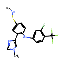 CNSc1ccc(Nc2ccc(C(F)(F)F)c(Cl)c2)c(-c2cn(C)cn2)c1